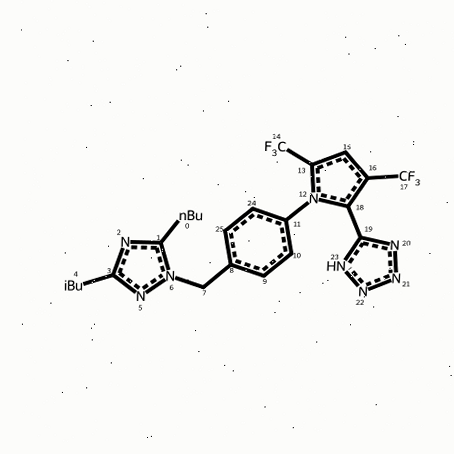 CCCCc1nc(C(C)CC)nn1Cc1ccc(-n2c(C(F)(F)F)cc(C(F)(F)F)c2-c2nnn[nH]2)cc1